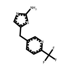 Nc1ncc(Cc2ccc(C(F)(F)F)nc2)s1